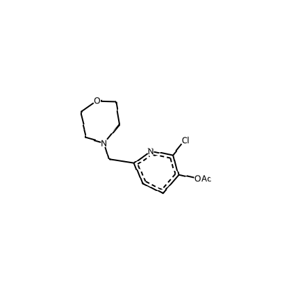 CC(=O)Oc1ccc(CN2CCOCC2)nc1Cl